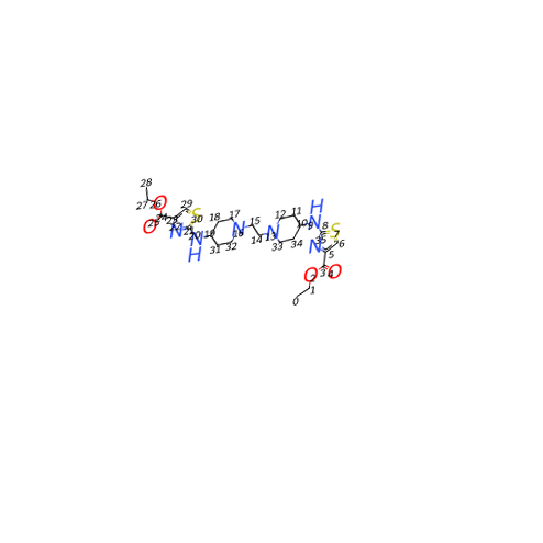 CCOC(=O)c1csc(NC2CCN(CCN3CCC(Nc4nc(C(=O)OCC)cs4)CC3)CC2)n1